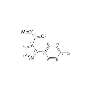 COC(=O)c1ccnn1-c1ccc(C)cc1